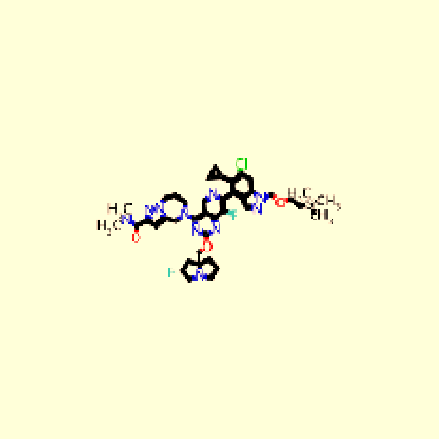 CN(C)C(=O)c1cc2n(n1)CCCN(c1nc(OC[C@@]34CCCN3C[C@H](F)C4)nc3c(F)c(-c4c(C5CC5)c(Cl)cc5c4cnn5COCC[Si](C)(C)C)ncc13)C2